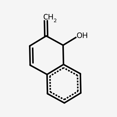 C=C1C=Cc2ccccc2C1O